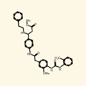 COc1cc(CC(=O)Nc2ccc(C(CC(=O)OC(C)(C)C)NCCc3ccccc3)cc2)ccc1NC(=O)Nc1ccccc1C